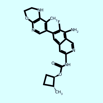 Cc1c(-c2cc3cc(NC(=O)O[C@@H]4CC[C@H]4C)ncc3c(N)c2F)cnc2c1NCCO2